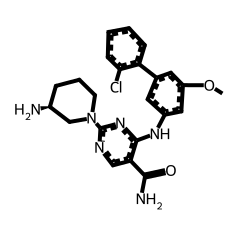 COc1cc(Nc2nc(N3CCC[C@H](N)C3)ncc2C(N)=O)cc(-c2ccccc2Cl)c1